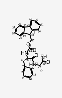 C[C@H](NC(=O)[C@H](Cc1ccccc1)NC(=O)OCC1c2ccccc2-c2ccccc21)C(=O)S